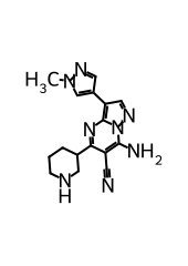 Cn1cc(-c2cnn3c(N)c(C#N)c(C4CCCNC4)nc23)cn1